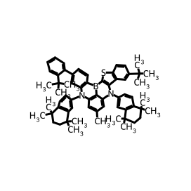 Cc1cc2c3c(c1)N(c1ccc4c(c1)C(C)(C)CCC4(C)C)c1c(sc4ccc(C(C)(C)C)cc14)B3c1ccc(-c3ccccc3C(C)(C)C)cc1N2c1ccc2c(c1)C(C)(C)CCC2(C)C